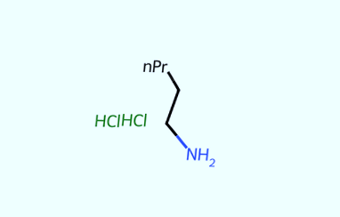 CCCCCN.Cl.Cl